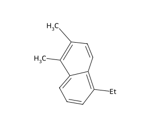 [CH2]Cc1cccc2c(C)c(C)ccc12